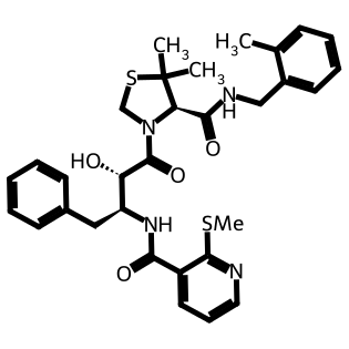 CSc1ncccc1C(=O)N[C@@H](Cc1ccccc1)[C@H](O)C(=O)N1CSC(C)(C)[C@H]1C(=O)NCc1ccccc1C